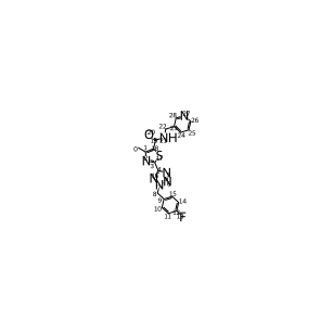 Cc1nc(-c2nnn(Cc3ccc(F)cc3)n2)sc1C(=O)NCc1cccnc1